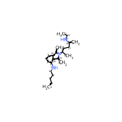 C=CCCCNc1cccc2c(=C)n(C(C)CCC(=C)NCC)c(=C)c12